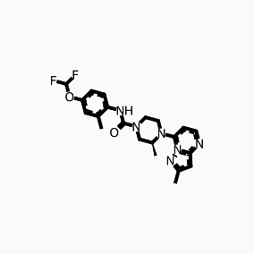 Cc1cc2nccc(N3CCN(C(=O)Nc4ccc(OC(F)F)cc4C)C[C@@H]3C)n2n1